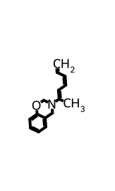 C=C/C=C\C=C(/C)N1COc2ccccc2C1